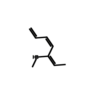 C=C/C=C\C(BC)=C/C